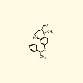 CC(Oc1ccc2c(c1)NCCC(C=O)N2C)c1ccccc1